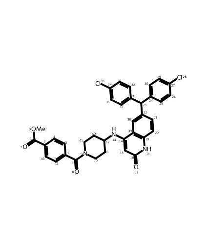 COC(=O)c1ccc(C(=O)N2CCC(Nc3cc(=O)[nH]c4ccc(C(c5ccc(Cl)cc5)c5ccc(Cl)cc5)cc34)CC2)cc1